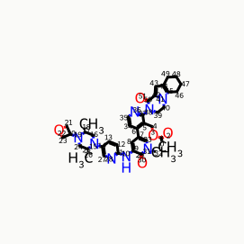 CC(=O)OCc1c(-c2cc(Nc3ccc(N4C[C@@H](C)N(C5COC5)C[C@@H]4C)cn3)c(=O)n(C)c2)ccnc1N1CCn2c(cc3c2CCCC3)C1=O